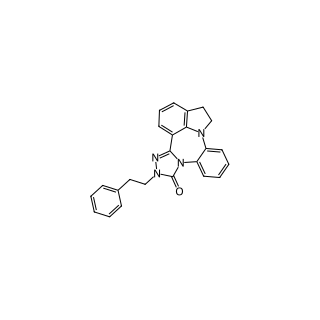 O=c1n(CCc2ccccc2)nc2n1-c1ccccc1N1CCc3cccc-2c31